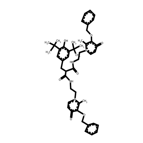 Cc1c(OCc2ccccc2)c(=O)ccn1CCNC(=O)C(Cc1cc(C(C)(C)C)c(O)c(C(C)(C)C)c1)C(=O)NCCn1ccc(=O)c(OCc2ccccc2)c1C